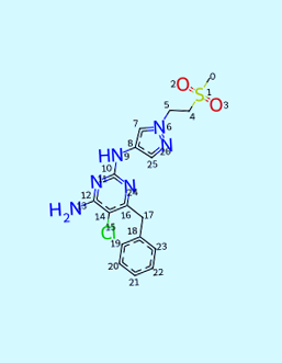 CS(=O)(=O)CCn1cc(Nc2nc(N)c(Cl)c(Cc3ccccc3)n2)cn1